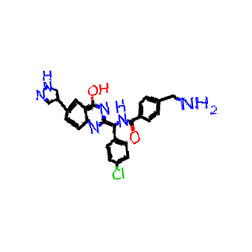 NCc1ccc(C(=O)NC(c2ccc(Cl)cc2)c2nc(O)c3cc(C4C=NNC4)ccc3n2)cc1